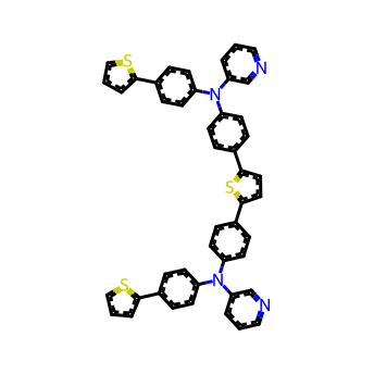 c1cncc(N(c2ccc(-c3cccs3)cc2)c2ccc(-c3ccc(-c4ccc(N(c5ccc(-c6cccs6)cc5)c5cccnc5)cc4)s3)cc2)c1